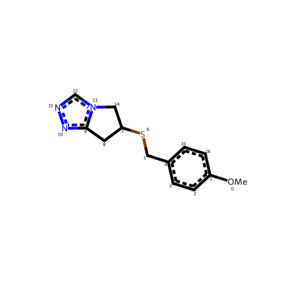 COc1ccc(CSC2Cc3nncn3C2)cc1